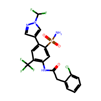 NS(=O)(=O)c1cc(NC(=O)Cc2ccccc2Cl)c(C(F)(F)F)cc1-c1cnn(C(F)F)c1